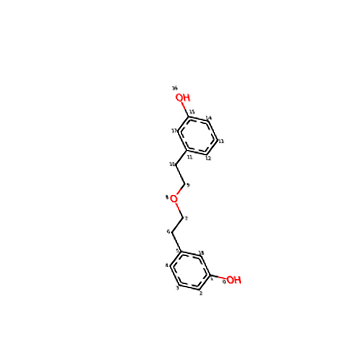 Oc1cccc(CCOCCc2cccc(O)c2)c1